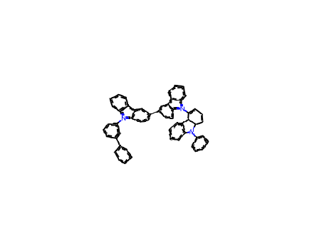 C1=CC2C(C(n3c4ccccc4c4cc(-c5ccc6c(c5)c5ccccc5n6-c5cccc(-c6ccccc6)c5)ccc43)=C1)c1ccccc1N2c1ccccc1